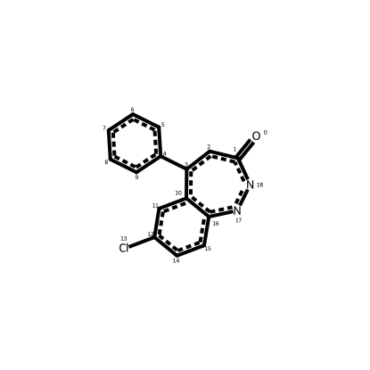 O=c1cc(-c2ccccc2)c2cc(Cl)ccc2nn1